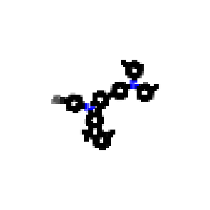 Cc1cccc(N(c2ccc(-c3ccc4c(c3)c3cc5c(cc3n4-c3ccc(C(C)(C)C)cc3)C(C)(C)c3cccc(C)c3-5)cc2)c2cccc(C)c2)c1